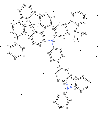 CC1(C)c2ccccc2-c2ccc(N(c3ccc(-c4ccc5c(c4)c4ccccc4n5-c4ccccc4)cc3)c3ccc4c(c3)C3(c5ccccc5-c5ccccc53)c3cccc(-c5ccccc5)c3-4)cc21